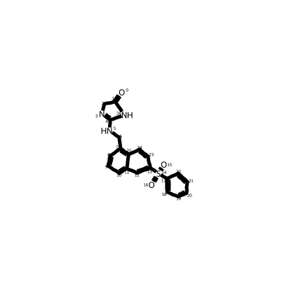 O=C1CN=C(NCc2cccc3cc(S(=O)(=O)c4ccccc4)ccc23)N1